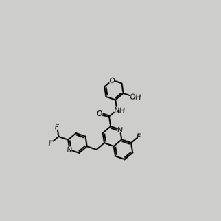 O=C(NC1=C(O)COC=C1)c1cc(Cc2ccc(C(F)F)nc2)c2cccc(F)c2n1